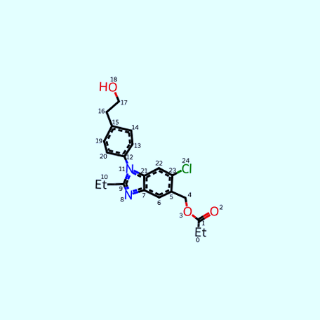 CCC(=O)OCc1cc2nc(CC)n(-c3ccc(CCO)cc3)c2cc1Cl